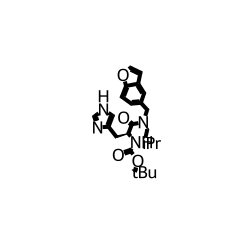 CC(C)CN(Cc1ccc2occc2c1)C(=O)[C@H](Cc1c[nH]cn1)NC(=O)OC(C)(C)C